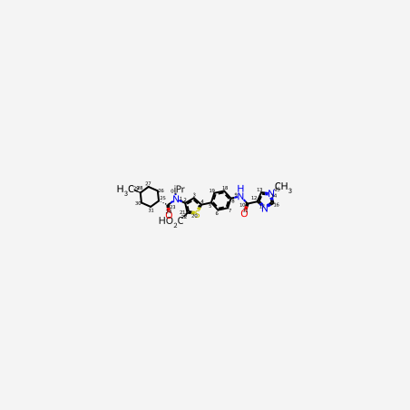 CC(C)N(c1cc(-c2ccc(NC(=O)c3cn(C)cn3)cc2)sc1C(=O)O)C(=O)[C@H]1CC[C@H](C)CC1